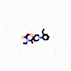 CCc1ccccc1N1CCC2(CC1)OCC(=O)N(CC)C2C